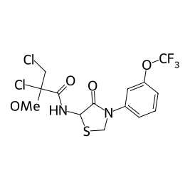 COC(Cl)(CCl)C(=O)NC1SCN(c2cccc(OC(F)(F)F)c2)C1=O